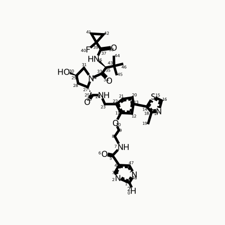 [2H]c1ncc(C(=O)NCCOc2cc(-c3scnc3C)ccc2CNC(=O)[C@@H]2C[C@@H](O)CN2C(=O)[C@@H](NC(=O)C2(F)CC2)C(C)(C)C)cn1